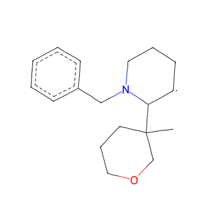 CC1(C2[CH]CCCN2Cc2ccccc2)CCCOC1